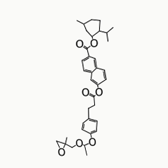 CC1CCC(C(C)C)C(OC(=O)c2ccc3cc(OC(=O)CCc4ccc(OC(C)OCC5(C)CO5)cc4)ccc3c2)C1